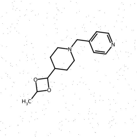 CC1OC(C2CCN(Cc3ccncc3)CC2)O1